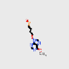 COc1ncnc2c1ncn2OCCC=CP=O